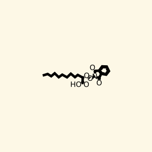 CCCCCCCCCCC(OON1C(=O)c2ccccc2C1=O)C(=O)O